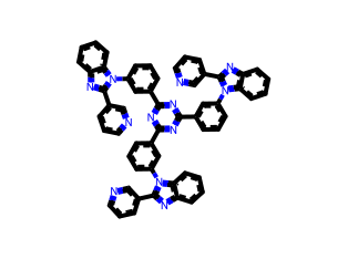 c1cncc(-c2nc3ccccc3n2-c2cccc(-c3nc(-c4cccc(-n5c(-c6cccnc6)nc6ccccc65)c4)nc(-c4cccc(-n5c(-c6cccnc6)nc6ccccc65)c4)n3)c2)c1